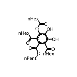 CCCCCCC(=O)Oc1c(O)c(O)c(C(=O)CCCCCC)c(C(=O)OCCCCC)c1C(=O)CCCCCC